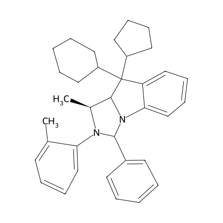 Cc1ccccc1N1C(c2ccccc2)N2c3ccccc3C(C3CCCCC3)(C3CCCC3)C2[C@@H]1C